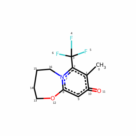 Cc1c(C(F)(F)F)n2c(cc1=O)OCCCC2